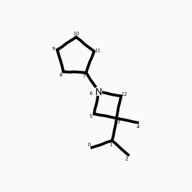 CC(C)C1(C)CN(C2CCCC2)C1